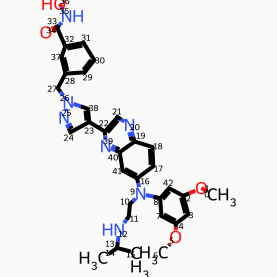 COc1cc(OC)cc(N(CCNC(C)C)c2ccc3ncc(-c4cnn(Cc5cccc(C(=O)NO)c5)c4)nc3c2)c1